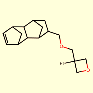 CCC1(COCC2CC3CC2C2C4C=CC(C4)C32)COC1